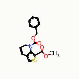 COC(=O)c1scc2c1N(C(=O)OCc1ccccc1)CC=C2